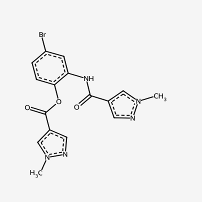 Cn1cc(C(=O)Nc2cc(Br)ccc2OC(=O)c2cnn(C)c2)cn1